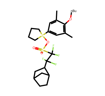 CCCCOc1c(C)cc(S2(OS(=O)(=O)C(F)(F)C(F)(F)C3CC4CCC3C4)CCCC2)cc1C